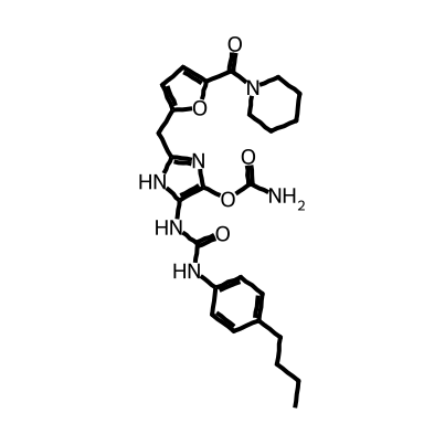 CCCCc1ccc(NC(=O)Nc2[nH]c(Cc3ccc(C(=O)N4CCCCC4)o3)nc2OC(N)=O)cc1